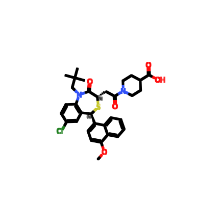 COc1ccc([C@@H]2S[C@@H](CC(=O)N3CCC(C(=O)O)CC3)C(=O)N(CC(C)(C)C)c3ccc(Cl)cc32)c2ccccc12